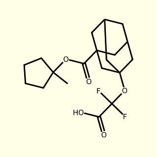 CC1(OC(=O)C23CC4CC(CC(OC(F)(F)C(=O)O)(C4)C2)C3)CCCC1